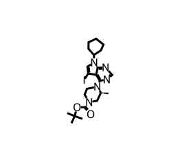 C[C@H]1CN(C(=O)OC(C)(C)C)CCN1c1ncnc2c1c(I)cn2C1CCCCC1